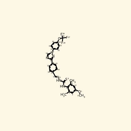 COc1cc(C)c(NC(=S)NN=Cc2ccc(-c3ncn(-c4ccc(OC(F)(F)F)cc4)n3)cc2)c(C)c1